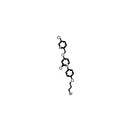 O=c1cc(OCc2ccc(Cl)cn2)ccn1-c1ccc(OCCCBr)cc1